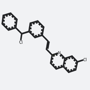 Clc1ccc2ccc(C=Cc3cccc(C(Cl)c4ccccc4)c3)nc2c1